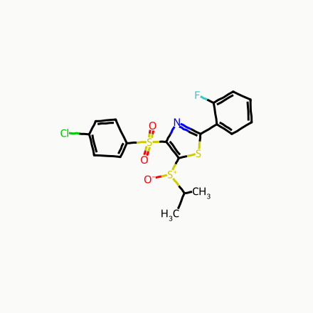 CC(C)[S+]([O-])c1sc(-c2ccccc2F)nc1S(=O)(=O)c1ccc(Cl)cc1